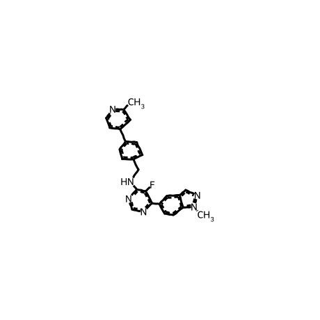 Cc1cc(-c2ccc(CNc3ncnc(-c4ccc5c(cnn5C)c4)c3F)cc2)ccn1